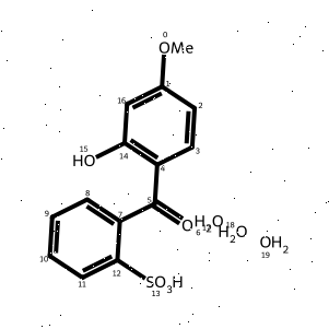 COc1ccc(C(=O)c2ccccc2S(=O)(=O)O)c(O)c1.O.O.O